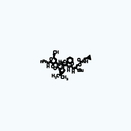 C#CCCC(NC(=O)[C@@H]1C2C(CN1C(=O)[C@@H](NC(=O)N[C@H](COC(=O)NCC1CC1)C(C)(C)C)C1(C)CCCCC1)C2(C)C)C(=O)C(=O)NCCC